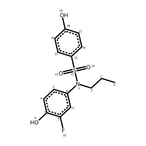 CCCN(c1ccc(O)c(F)c1)S(=O)(=O)c1ccc(O)cc1